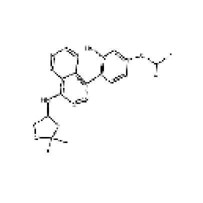 CC1(C)CC(Nc2nnc(-c3ccc(OC(F)F)cc3O)c3ccncc23)CO1